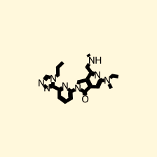 CCCn1cnnc1-c1cccc(N2Cc3c(cc(N(C)CC)nc3CNC)C2=O)n1